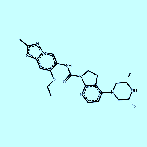 CCOc1cc2nc(C)nn2cc1NC(=O)N1CCc2c(N3C[C@@H](C)N[C@@H](C)C3)ccnc21